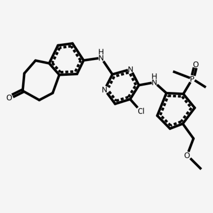 COCc1ccc(Nc2nc(Nc3ccc4c(c3)CCC(=O)CC4)ncc2Cl)c(P(C)(C)=O)c1